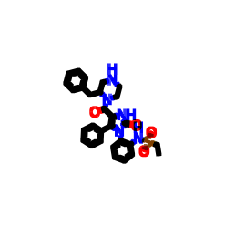 CCS(=O)(=O)Nc1ccccc1-n1c(-c2ccccc2)c(C(=O)N2CCNCC2Cc2ccccc2)[nH]c1=O